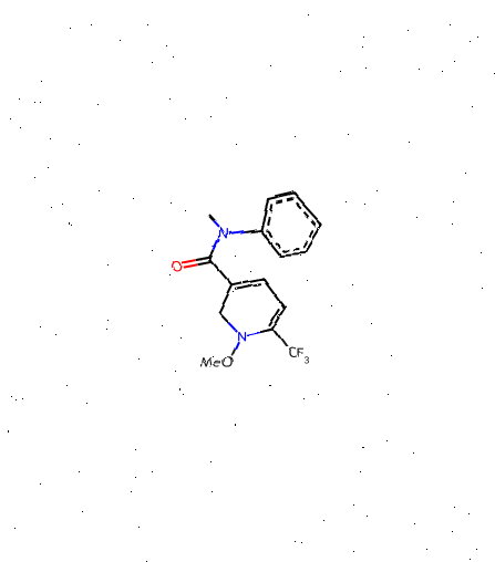 CON1CC(C(=O)N(C)c2ccccc2)=CC=C1C(F)(F)F